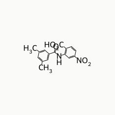 Cc1cc(C)cc(C(=O)Nc2cc([N+](=O)[O-])ccc2C(=O)O)c1